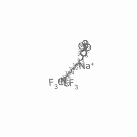 O=S(=O)([O-])c1ccc(CCCCCCCCCCN(C(F)(F)F)C(F)(F)F)cc1.[Na+]